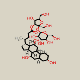 C[C@H](CCC(=O)O[C@H]1[C@H](O)[C@@H](CO)O[C@@]1(CO)O[C@H]1O[C@H](CO)[C@@H](O)[C@H](O)[C@H]1O)[C@H]1CC[C@H]2[C@@H]3[C@H](O)C[C@@H]4C[C@H](O)CC[C@]4(C)[C@H]3C[C@H](O)[C@]12C